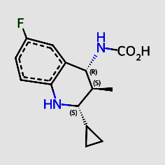 C[C@@H]1[C@@H](NC(=O)O)c2cc(F)ccc2N[C@H]1C1CC1